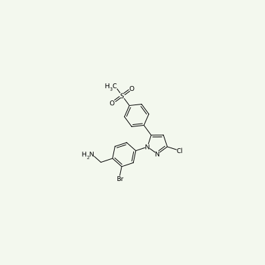 CS(=O)(=O)c1ccc(-c2cc(Cl)nn2-c2ccc(CN)c(Br)c2)cc1